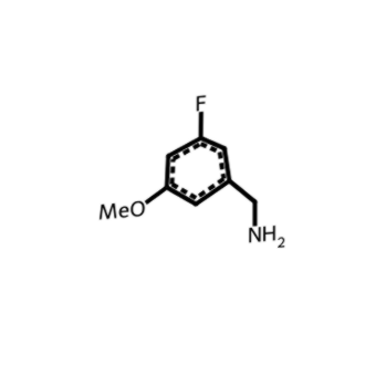 COc1cc(F)cc(CN)c1